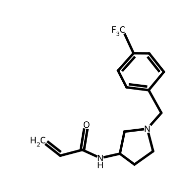 C=CC(=O)NC1CCN(Cc2ccc(C(F)(F)F)cc2)C1